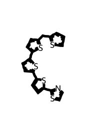 C1=C=C(c2nccs2)SC=1c1ccc(-c2ccc(Cc3cccs3)s2)s1